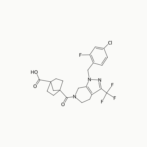 O=C(O)C12CCC(C(=O)N3CCc4c(C(F)(F)F)nn(Cc5ccc(Cl)cc5F)c4C3)(CC1)C2